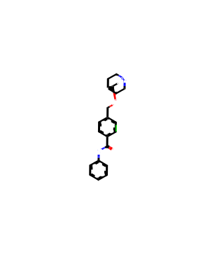 Cl.O=C(Nc1ccccc1)c1ccc(COC2CN3CCC2CC3)cc1